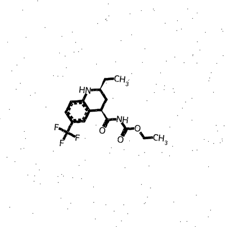 CCOC(=O)NC(=O)[C@@H]1C[C@H](CC)Nc2ccc(C(F)(F)F)cc21